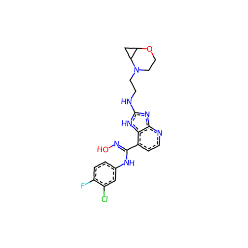 ON=C(Nc1ccc(F)c(Cl)c1)c1ccnc2nc(NCCN3CCOC4CC43)[nH]c12